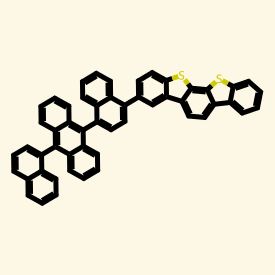 c1ccc2c(-c3c4ccccc4c(-c4ccc(-c5ccc6sc7c(ccc8c9ccccc9sc87)c6c5)c5ccccc45)c4ccccc34)cccc2c1